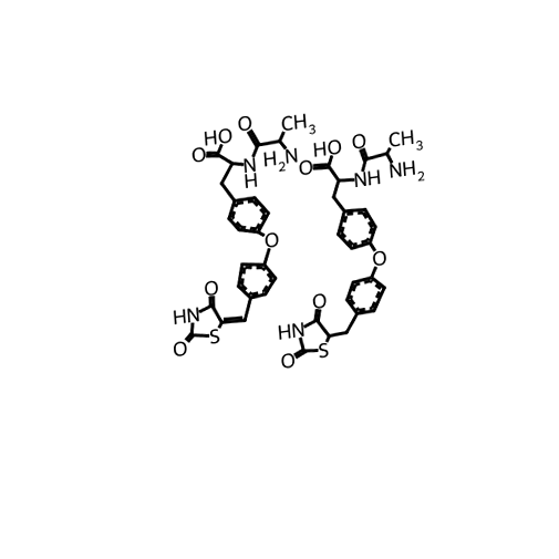 CC(N)C(=O)NC(Cc1ccc(Oc2ccc(C=C3SC(=O)NC3=O)cc2)cc1)C(=O)O.CC(N)C(=O)NC(Cc1ccc(Oc2ccc(CC3SC(=O)NC3=O)cc2)cc1)C(=O)O